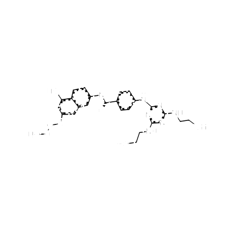 O=C(Nc1ccc2c(O)cc(SOOO)cc2c1)c1ccc(Nc2nc(NCCO)nc(NCCO)n2)cc1